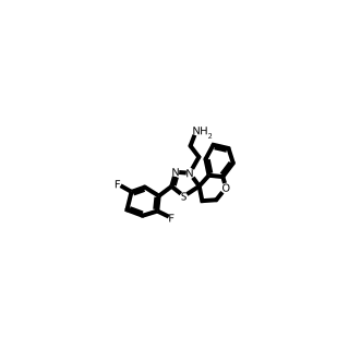 NCCN1N=C(c2cc(F)ccc2F)SC12CCOc1ccccc12